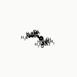 CCc1nc(C(N)=O)c(Nc2cccc(CCNC(=O)[C@H](C)N(C)C(=O)/C=C/CN(C)C)c2)nc1N(C)C